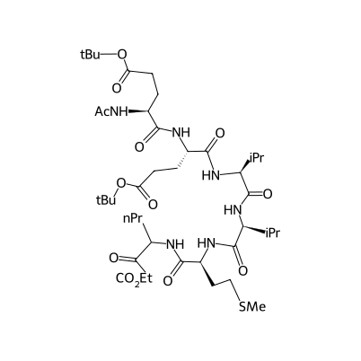 CCCC(NC(=O)[C@H](CCSC)NC(=O)[C@@H](NC(=O)[C@@H](NC(=O)[C@H](CCC(=O)OC(C)(C)C)NC(=O)[C@H](CCC(=O)OC(C)(C)C)NC(C)=O)C(C)C)C(C)C)C(=O)C(=O)OCC